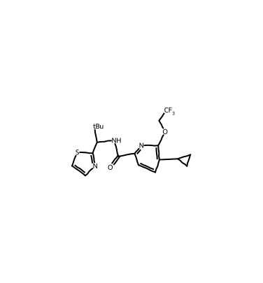 CC(C)(C)C(NC(=O)c1ccc(C2CC2)c(OCC(F)(F)F)n1)c1nccs1